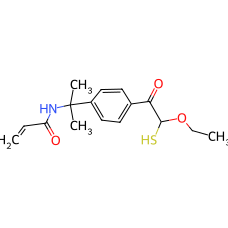 C=CC(=O)NC(C)(C)c1ccc(C(=O)C(S)OCC)cc1